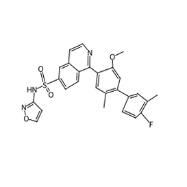 COc1cc(-c2ccc(F)c(C)c2)c(C)cc1-c1nccc2cc(S(=O)(=O)Nc3ccon3)ccc12